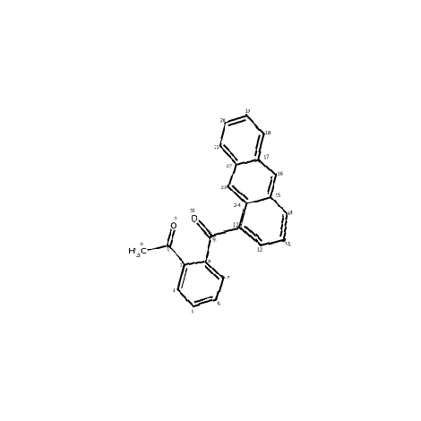 CC(=O)c1ccccc1C(=O)c1cccc2cc3ccccc3cc12